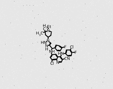 CCN1CCC(N2C=C(C(Nc3cc(Cl)c4ncc(C#N)c(Nc5ccc(F)c(Cl)c5)c4c3)c3ccc(F)cc3)NN2)CC1(C)C